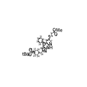 COC(=O)CCSc1cnc(Nc2nc(CC3CCN(C(=O)OC(C)(C)C)CC3)cs2)c(Oc2ccccc2)c1